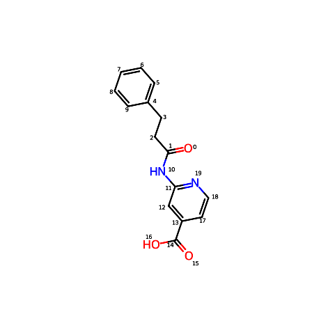 O=C(CCc1ccccc1)Nc1cc(C(=O)O)ccn1